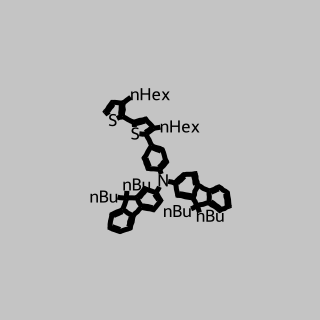 CCCCCCc1cc(-c2sccc2CCCCCC)sc1-c1ccc(N(c2ccc3c(c2)C(CCCC)(CCCC)c2ccccc2-3)c2ccc3c(c2)C(CCCC)(CCCC)c2ccccc2-3)cc1